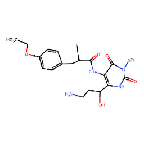 CCCn1c(=O)[nH]c(C(O)CCN)c(NC(=O)C(C)Cc2ccc(OCC(=O)O)cc2)c1=O